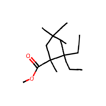 CCC(C)(CC)C(C)(CC(C)(C)C)C(=O)OC